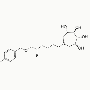 O[C@H]1[C@H](O)[C@@H](O)CN(CCCCC(F)COCc2ccc(F)cc2)C[C@@H]1O